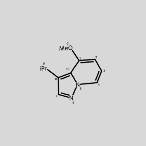 COc1cccn2ncc(C(C)C)c12